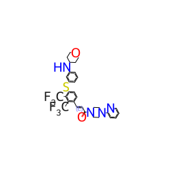 O=C(/C=C/c1ccc(Sc2cccc(NC3CCOCC3)c2)c(C(F)(F)F)c1C(F)(F)F)N1CCN(c2ccccn2)CC1